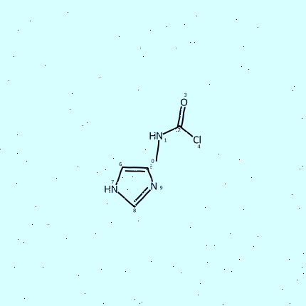 CNC(=O)Cl.c1c[nH]cn1